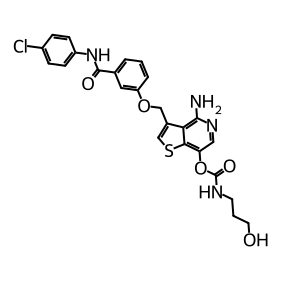 Nc1ncc(OC(=O)NCCCO)c2scc(COc3cccc(C(=O)Nc4ccc(Cl)cc4)c3)c12